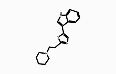 c1ccc2c(-c3cnc(CCN4CCCCC4)s3)c[nH]c2c1